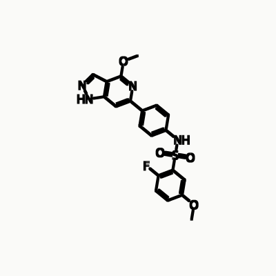 COc1ccc(F)c(S(=O)(=O)Nc2ccc(-c3cc4[nH]ncc4c(OC)n3)cc2)c1